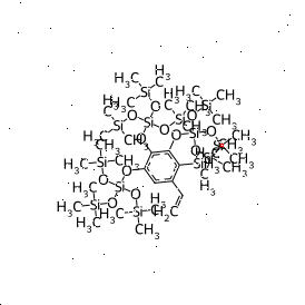 C=Cc1cc(O[Si](O[Si](C)(C)C)(O[Si](C)(C)C)O[Si](C)(C)C)c(O[Si](O[Si](C)(C)C)(O[Si](C)(C)C)O[Si](C)(C)C)c(O[Si](O[Si](C)(C)C)(O[Si](C)(C)C)O[Si](C)(C)C)c1[SiH3]